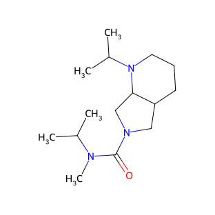 CC(C)N(C)C(=O)N1CC2CCCN(C(C)C)C2C1